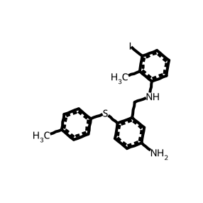 Cc1ccc(Sc2ccc(N)cc2CNc2cccc(I)c2C)cc1